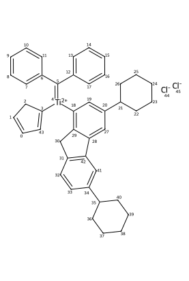 C1=CC[C]([Ti+2](=[C](c2ccccc2)c2ccccc2)[c]2cc(C3CCCCC3)cc3c2Cc2ccc(C4CCCCC4)cc2-3)=C1.[Cl-].[Cl-]